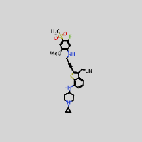 COc1cc(S(C)(=O)=O)c(F)cc1NCC#Cc1sc2c(NC3CCN(C4CC4)CC3)cccc2c1CC#N